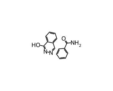 NC(=O)c1ccccc1.Oc1nncc2ccccc12